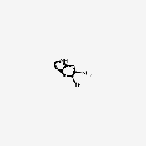 CCc1cc2cc[nH]c2nc1N